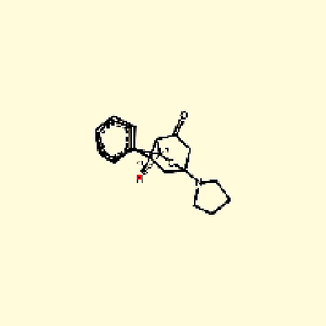 O=C1CC2(N3CCCC3)C[C@H](c3ccccc3)C1[C@H](c1ccccc1)C2